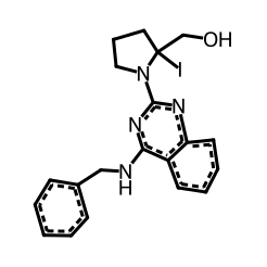 OCC1(I)CCCN1c1nc(NCc2ccccc2)c2ccccc2n1